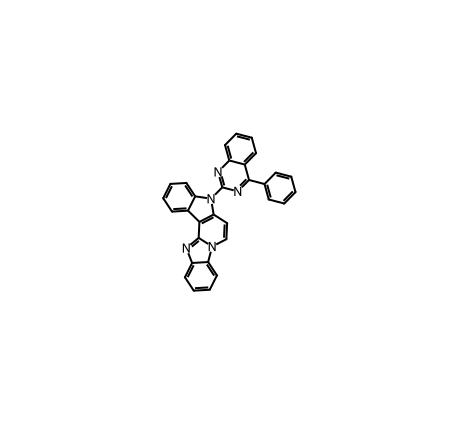 c1ccc(-c2nc(-n3c4ccccc4c4c3ccn3c5ccccc5nc43)nc3ccccc23)cc1